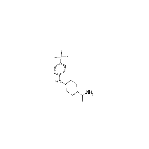 CC(N)C1CCC(Nc2ccc(C(C)(C)C)cc2)CC1